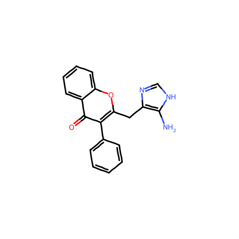 Nc1[nH]cnc1Cc1oc2ccccc2c(=O)c1-c1ccccc1